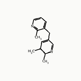 Cc1ncccc1CC1=CC(C)C(C)N=C1